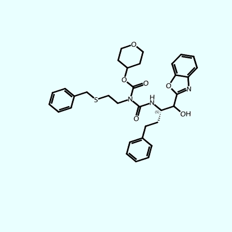 O=C(N[C@@H](CCc1ccccc1)C(O)c1nc2ccccc2o1)N(CCSCc1ccccc1)C(=O)OC1CCOCC1